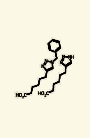 O=C(O)CCCCCc1c[nH]nn1.O=C(O)CCCCCc1cn(Cc2ccccc2)nn1